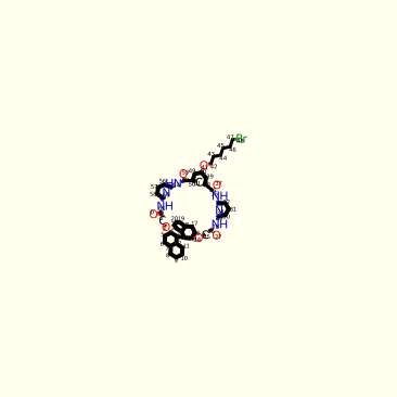 O=C1COc2ccc3ccccc3c2-c2c(ccc3ccccc23)OCC(=O)Nc2cccc(n2)NC(=O)c2cc(OCCCCCCBr)cc(c2)C(=O)Nc2cccc(n2)N1